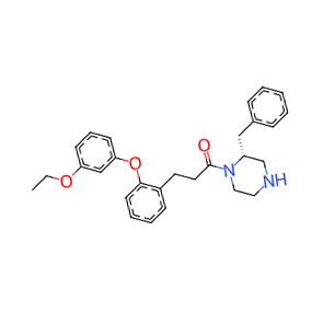 CCOc1cccc(Oc2ccccc2CCC(=O)N2CCNC[C@H]2Cc2ccccc2)c1